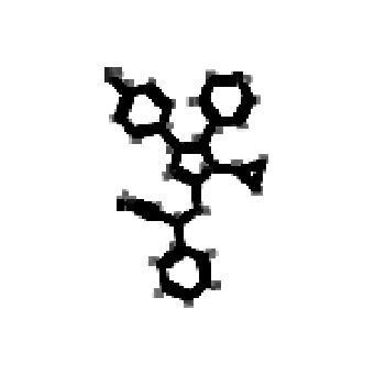 C#CC(Sc1nc(-c2ccc(F)cc2)c(-c2ccncc2)n1C1CC1)c1ccccc1